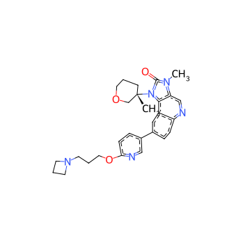 Cn1c(=O)n([C@@]2(C)CCCOC2)c2c3cc(-c4ccc(OCCCN5CCC5)nc4)ccc3ncc21